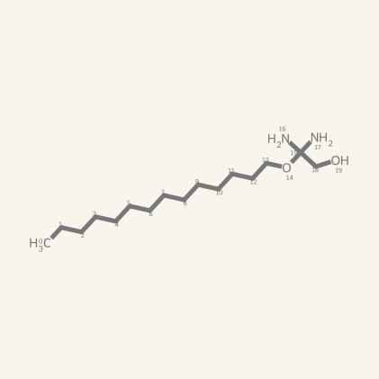 CCCCCCCCCCCCCCOC(N)(N)CO